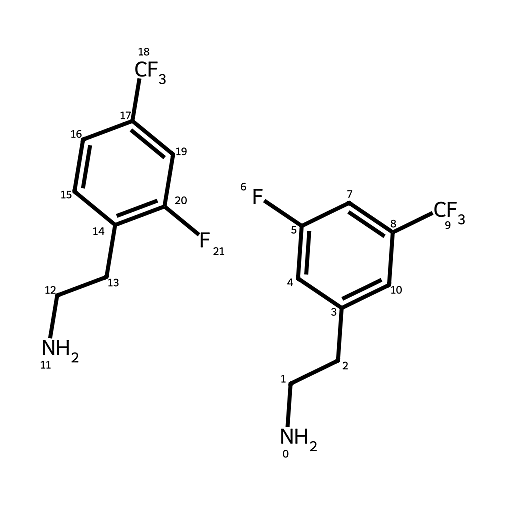 NCCc1cc(F)cc(C(F)(F)F)c1.NCCc1ccc(C(F)(F)F)cc1F